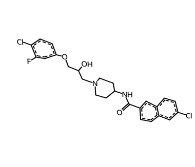 O=C(NC1CCN(CC(O)COc2ccc(Cl)c(F)c2)CC1)c1ccc2cc(Cl)ccc2c1